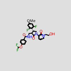 COc1cc(F)c([C@@H]2CN(c3cccn(CCO)c3=O)C(=O)C2CNC(=O)c2ccc(OC(F)F)cc2)c(F)c1